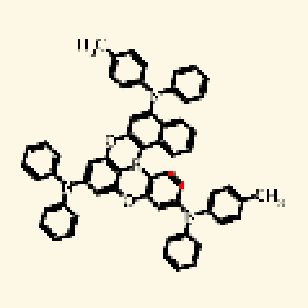 Cc1ccc(N(c2ccccc2)c2cc3c(c4ccccc24)B2c4c(cc(N(c5ccccc5)c5ccccc5)cc4Oc4cc(N(c5ccccc5)c5ccc(C)cc5)c5ccccc5c42)O3)cc1